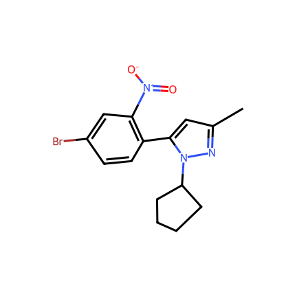 Cc1cc(-c2ccc(Br)cc2[N+](=O)[O-])n(C2CCCC2)n1